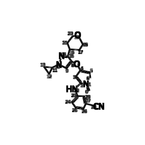 C=N/C(=C\C(=C/C)Oc1cn(C2CC2)nc1C1CCOCC1)Nc1cccc(C#N)c1